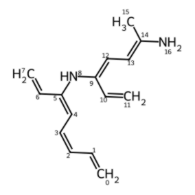 C=C/C=C\C=C(/C=C)N/C(C=C)=C/C=C(\C)N